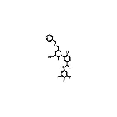 CCCC(CC(C)COCc1ccncc1)C(C)Sc1cc(C(=O)Nc2cc(F)c(F)c(F)c2)ccc1Cl